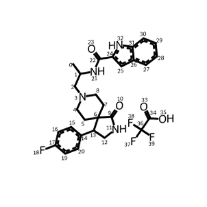 CC(CN1CCC2(CC1)C(=O)NCC2c1ccc(F)cc1)NC(=O)c1cc2ccccc2[nH]1.O=C(O)C(F)(F)F